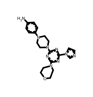 Nc1ccc(N2CCN(c3nc(N4CCOCC4)nc(-n4ccnc4)n3)CC2)cc1